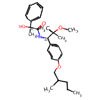 CCCC(C)COc1ccc([C@@H](NC(=O)[C@](C)(O)c2ccccc2)C(C)(C)OC)cc1